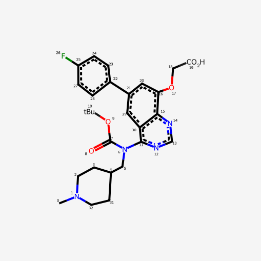 CN1CCC(CN(C(=O)OC(C)(C)C)c2ncnc3c(OCC(=O)O)cc(-c4ccc(F)cc4)cc23)CC1